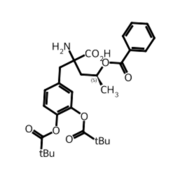 C[C@@H](CC(N)(Cc1ccc(OC(=O)C(C)(C)C)c(OC(=O)C(C)(C)C)c1)C(=O)O)OC(=O)c1ccccc1